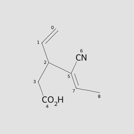 C=CC(CC(=O)O)C(C#N)=CC